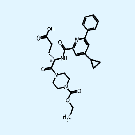 CCOC(=O)N1CCN(C(=O)[C@H](CCC(=O)O)NC(=O)c2cc(C3CC3)cc(-c3ccccc3)n2)CC1